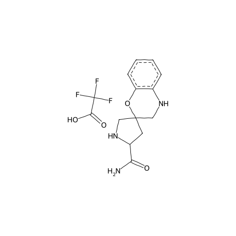 NC(=O)C1CC2(CNc3ccccc3O2)CN1.O=C(O)C(F)(F)F